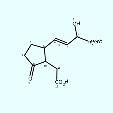 CCCCCC(O)/C=C/C1CCC(=O)C1CC(=O)O